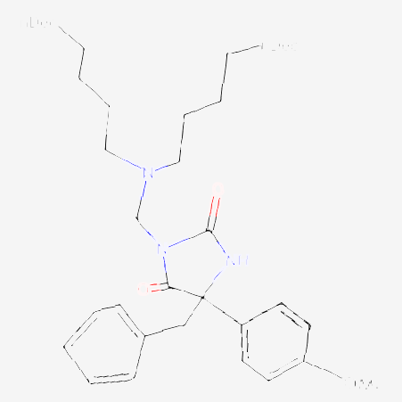 CCCCCCCCCCCCCCN(CCCCCCCCCCCCCC)CN1C(=O)NC(Cc2ccccc2)(c2ccc(OC)cc2)C1=O